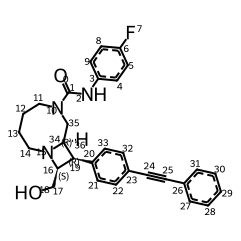 O=C(Nc1ccc(F)cc1)N1CCCCN2[C@H](CO)[C@H](c3ccc(C#Cc4ccccc4)cc3)[C@@H]2C1